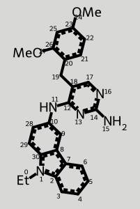 CCn1c2ccccc2c2cc(Nc3nc(N)ncc3Cc3ccc(OC)cc3OC)ccc21